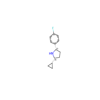 Fc1ccc([C@@H]2CC[C@H](C3CC3)N2)cc1